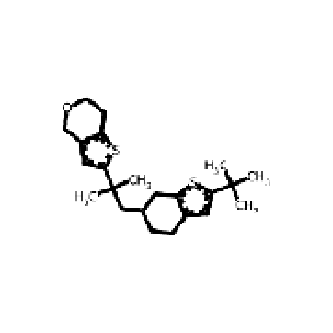 CC(C)(C)c1cc2c(s1)CC(CC(C)(C)c1cc3c(s1)CCOC3)CC2